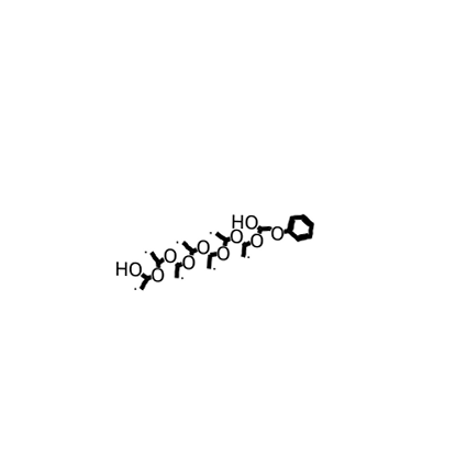 [CH2]C(O)OC([CH2])OC([CH2])OC([CH2])OC([CH2])OC([CH2])OC([CH2])OC(O)COc1ccccc1